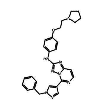 c1ccc(Cn2cc(-c3nccc4nc(Nc5ccc(OCCN6CCCC6)cc5)nn34)cn2)cc1